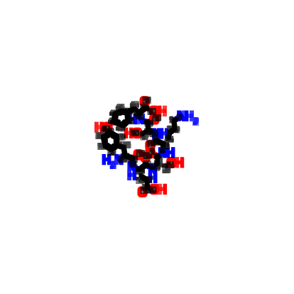 NCCCC[C@H](NC(=O)[C@H](CO)NC(=O)[C@H](CCC(=O)O)NC(=O)[C@@H](N)Cc1ccccc1)C(=O)N[C@@H](CO)C(=O)N[C@@H](Cc1ccc(O)cc1)C(=O)O